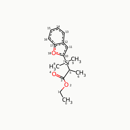 CCOC(=O)C(C)[Si](C)(C)c1cc2ccccc2o1